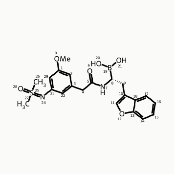 COc1cc(CC(=O)N[C@@H](Cc2coc3ccccc23)B(O)O)cc(N=S(C)(C)=O)c1